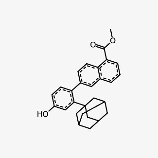 COC(=O)c1cccc2cc(-c3ccc(O)cc3C34CC5CC(CC(C5)C3)C4)ccc12